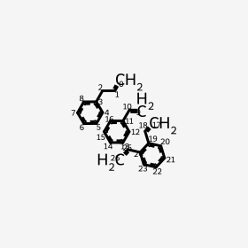 C=CCc1ccccc1.C=Cc1ccccc1.C=Cc1ccccc1C=C